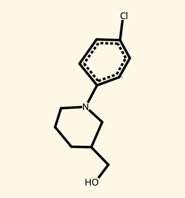 OCC1CCCN(c2[c]cc(Cl)cc2)C1